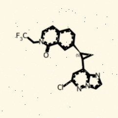 O=c1c2cc([C@H]3CC3c3cc(Cl)nn4ccnc34)ccc2ccn1CC(F)(F)F